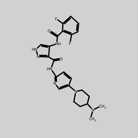 CN(C)C1CCN(c2ccc(NC(=O)c3n[nH]cc3NC(=O)c3c(F)cccc3F)nc2)CC1